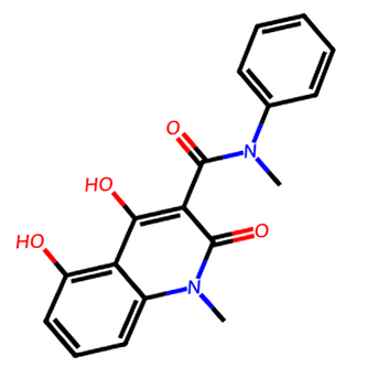 CN(C(=O)c1c(O)c2c(O)cccc2n(C)c1=O)c1ccccc1